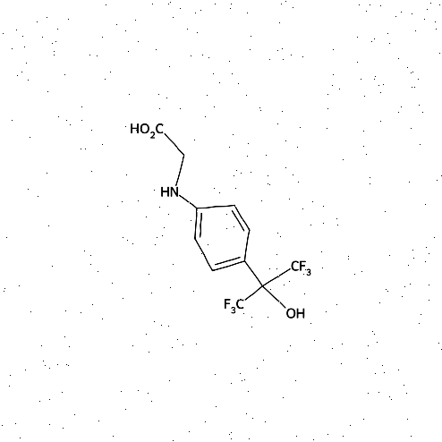 O=C(O)CNc1ccc(C(O)(C(F)(F)F)C(F)(F)F)cc1